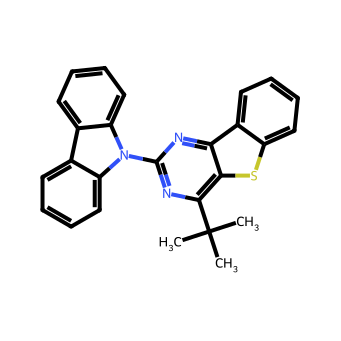 CC(C)(C)c1nc(-n2c3ccccc3c3ccccc32)nc2c1sc1ccccc12